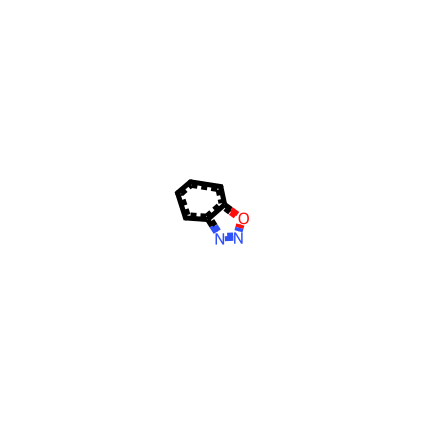 c1ccc2onnc2c1